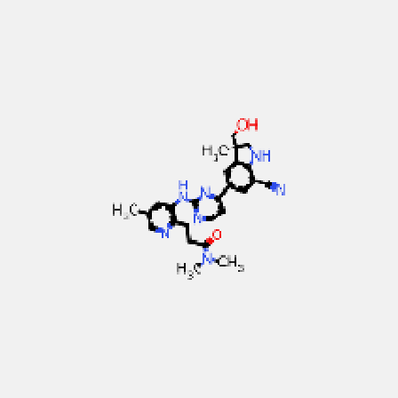 Cc1cnc(CCC(=O)N(C)C)c(Nc2nccc(-c3cc(C#N)c4c(c3)[C@@](C)(CO)CN4)n2)c1